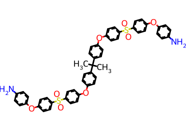 CC(C)(c1ccc(Oc2ccc(S(=O)(=O)c3ccc(Oc4ccc(N)cc4)cc3)cc2)cc1)c1ccc(Oc2ccc(S(=O)(=O)c3ccc(Oc4ccc(N)cc4)cc3)cc2)cc1